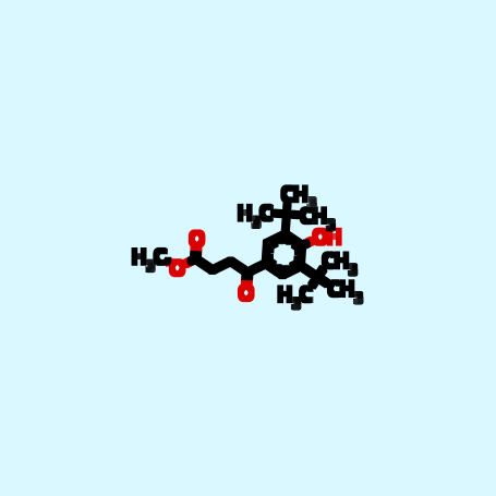 COC(=O)CCC(=O)c1cc(C(C)(C)C)c(O)c(C(C)(C)C)c1